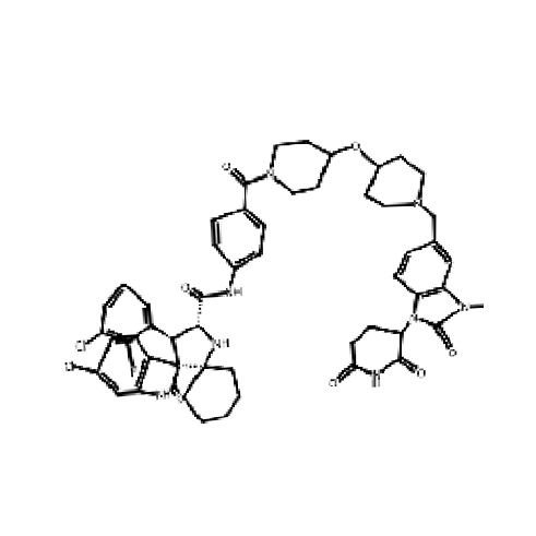 Cn1c(=O)n(C2CCC(=O)NC2=O)c2ccc(CN3CCC(OC4CCN(C(=O)c5ccc(NC(=O)[C@@H]6NC7(CCCCC7)[C@@]7(C(=O)Nc8cc(Cl)ccc87)[C@H]6c6cccc(Cl)c6F)cc5)CC4)CC3)cc21